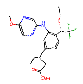 CCO[C@@H](c1ccc([C@H](CC)CC(=O)O)cc1Nc1cnc(OC)cn1)C(F)(F)F